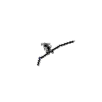 CCCCCCC/C=C\CCCCCCCC(=O)O[C@H](COC(=O)CCCCCCCCCCCCCCCCCCC)COP(=O)(O)OC[C@H](N)C(=O)O